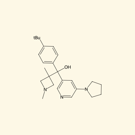 CN1CC(C)(C(O)(c2ccc(C(C)(C)C)cc2)c2cncc(N3CCCC3)c2)C1